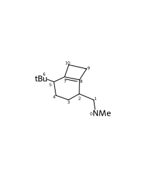 CNCC1CCC(C(C)(C)C)C2=C1CC2